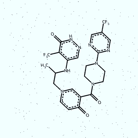 CC(Cn1ccc(=O)c(C(=O)N2CCN(c3ncc(C(F)(F)F)cn3)CC2)c1)Nc1cn[nH]c(=O)c1C(F)(F)F